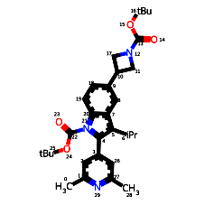 Cc1cc(-c2c(C(C)C)c3cc(C4CN(C(=O)OC(C)(C)C)C4)ccc3n2C(=O)OC(C)(C)C)cc(C)n1